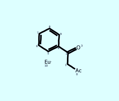 CC(=O)CC(=O)c1ccccc1.[Eu]